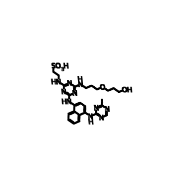 Cc1ncnc(Nc2ccc(Nc3nc(NCCCOCCCO)nc(NCCS(=O)(=O)O)n3)c3ccccc23)n1